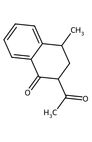 CC(=O)C1CC(C)c2ccccc2C1=O